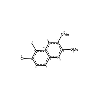 COc1nc2ccc(Cl)c(C)c2nc1OC